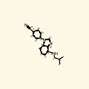 CC(C)CNc1cccc2c1ncn2-c1ccc(C#N)cc1